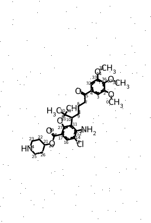 COc1cc(C(=O)CCCC2c3c(N)c(Cl)cc(C(=O)OC4CCNCC4)c3OC2(C)C)cc(OC)c1OC